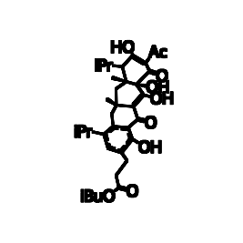 CC(=O)C1=C(O)C(C(C)C)[C@@]2(C)C[C@@]3(C)Cc4c(C(C)C)cc(CCC(=O)OCC(C)C)c(O)c4C(=O)C3=C(O)[C@@]2(O)C1=O